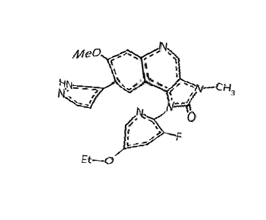 CCOc1cnc(-n2c(=O)n(C)c3cnc4cc(OC)c(-c5ccn[nH]5)cc4c32)c(F)c1